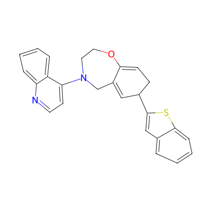 C1=C2CN(c3ccnc4ccccc34)CCOC2=CCC1c1cc2ccccc2s1